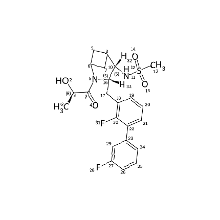 C[C@@H](O)C(=O)N1C2CC(C2)[C@H](NS(C)(=O)=O)[C@@H]1Cc1cccc(-c2cccc(F)c2)c1F